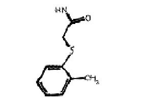 Cc1ccccc1SCC([NH])=O